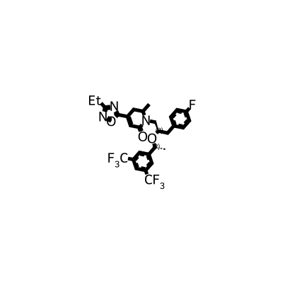 CCc1noc(C2=CC(=O)N(C[C@@H](Cc3ccc(F)cc3)O[C@H](C)c3cc(C(F)(F)F)cc(C(F)(F)F)c3)C(C)C2)n1